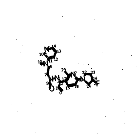 C=C/C(=N\N(C=O)CCN(C)c1cccnc1)c1ccc(N2CCC(F)C2)nc1C